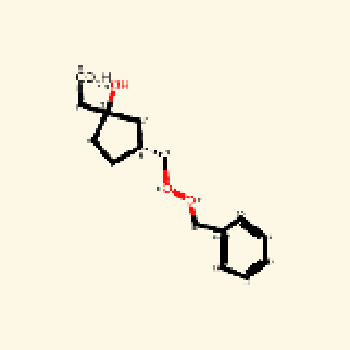 O=C(O)CC1(O)CC[C@@H](COOCc2ccccc2)C1